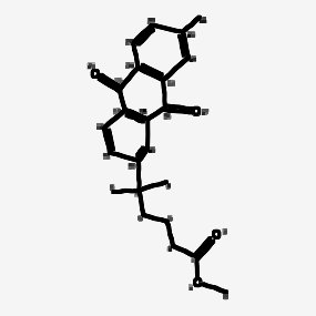 COC(=O)CCCC(C)(C)c1ccc2c(c1)C(=O)c1cc(C)ccc1C2=O